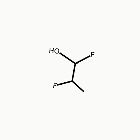 CC(F)[C](O)F